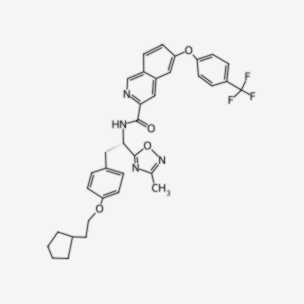 Cc1noc([C@H](Cc2ccc(OCCC3CCCC3)cc2)NC(=O)c2cc3cc(Oc4ccc(C(F)(F)F)cc4)ccc3cn2)n1